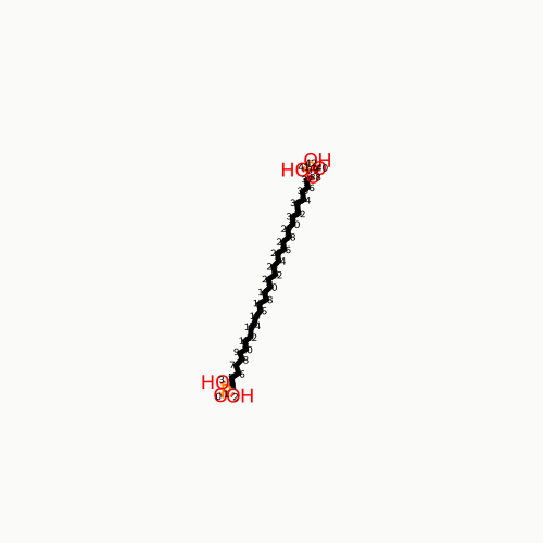 O=P(O)(O)CCCCCCCCCCCCCCCCCCCCCCCCCCCCCCCCCCOP(=O)(O)O